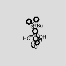 CC(C)(C)[Si](O[C@H]1CC[C@](C)([C@H]2CC[C@@]3(C)[C@@H](CCC34OCCO4)[C@@H]2O)[C@@H](CCO)C1)(c1ccccc1)c1ccccc1